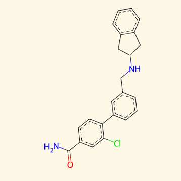 NC(=O)c1ccc(-c2cccc(CNC3Cc4ccccc4C3)c2)c(Cl)c1